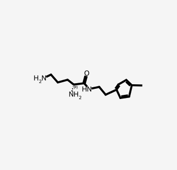 Cc1ccc(CCNC(=O)[C@H](N)CCCN)cc1